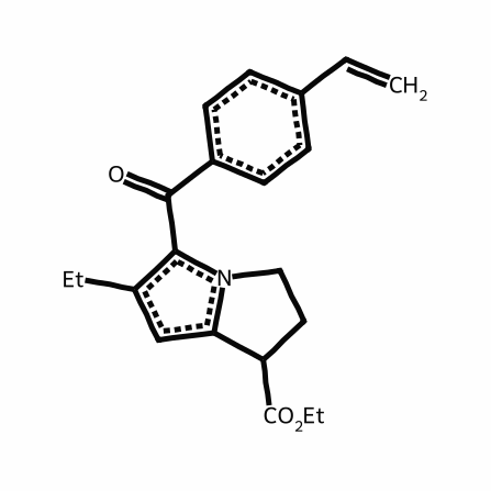 C=Cc1ccc(C(=O)c2c(CC)cc3n2CCC3C(=O)OCC)cc1